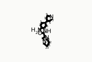 Nc1ccc(-c2ccncc2)cc1NC(=O)c1cn2ccccc2n1